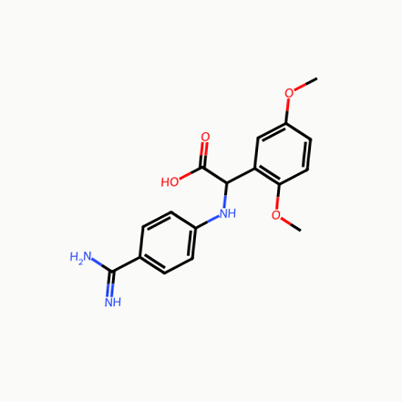 COc1ccc(OC)c(C(Nc2ccc(C(=N)N)cc2)C(=O)O)c1